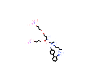 CCCCc1nc(Cl)c(C(=O)NC(CCC(=O)OCCCCON(O)O)C(=O)OCCCCON(O)O)n1Cc1ccc(-c2ccccc2-c2nn[nH]n2)cc1